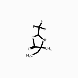 CCC1(C)NC(C(F)(F)F)OC1=O